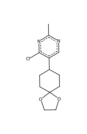 Cc1ncc(C2CCC3(CC2)OCCO3)c(Cl)n1